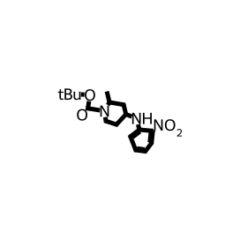 CC1CC(Nc2ccccc2[N+](=O)[O-])CCN1C(=O)OC(C)(C)C